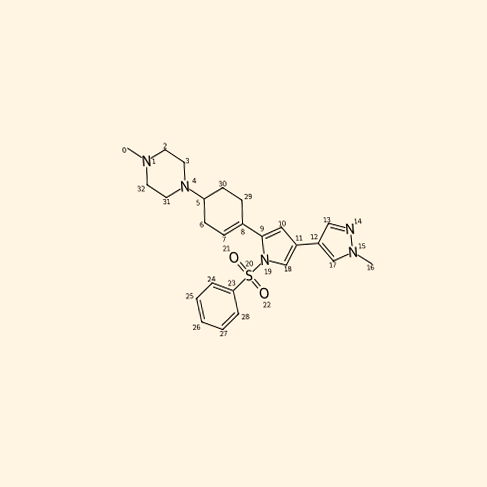 CN1CCN(C2CC=C(c3cc(-c4cnn(C)c4)cn3S(=O)(=O)c3ccccc3)CC2)CC1